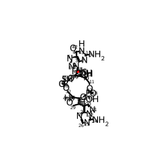 Nc1nc2c(nnn2[C@@H]2S[C@@H]3COP(=O)(O)O[C@H]4C(c5cnn6c(N)ncnc56)CO[C@@H]4COP(=O)(S)O[C@@H]2[C@@H]3O)c(=O)[nH]1